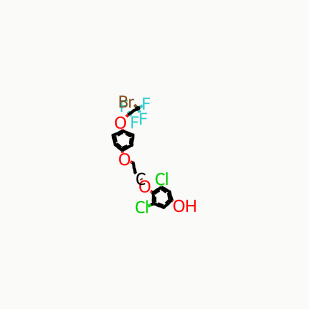 Oc1cc(Cl)c(OCCCOc2ccc(OC(F)(F)C(F)(F)Br)cc2)c(Cl)c1